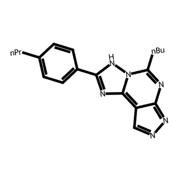 CCCCc1nc2nncc-2c2nc(-c3ccc(CCC)cc3)[nH]n12